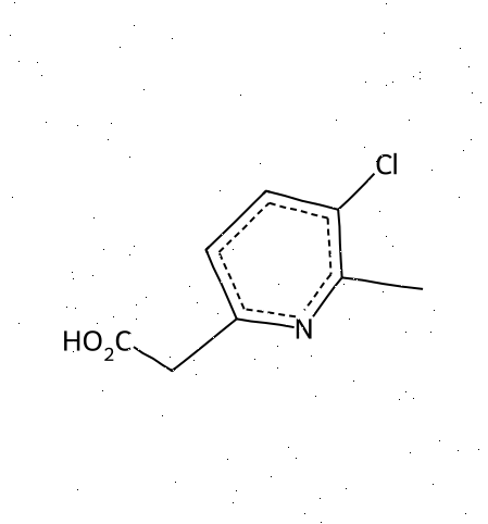 Cc1nc(CC(=O)O)ccc1Cl